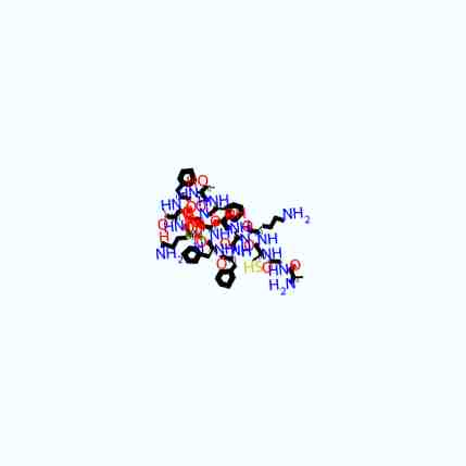 C[C@@H](N)C(=O)NCC(=O)N[C@@H](CS)C(=O)N[C@@H](CCCCN)C(=O)N[C@H](C)C(=O)N[C@@H](Cc1ccccc1)C(=O)N[C@@H](Cc1ccccc1)C(=O)N[C@H](Cc1c[nH]c2ccccc12)C(=O)N[C@@H](CCCCN)C(=O)N[C@H](C(=O)N[C@@H](Cc1ccccc1)C(=O)N[C@H](C(=O)N[C@@H](CO)C(=O)N[C@H](CS)C(=O)O)[C@@H](C)O)[C@@H](C)O